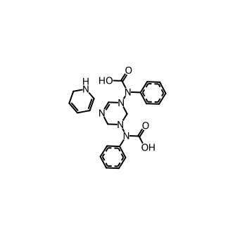 C1=CCNC=C1.O=C(O)N(c1ccccc1)N1C=NCN(N(C(=O)O)c2ccccc2)C1